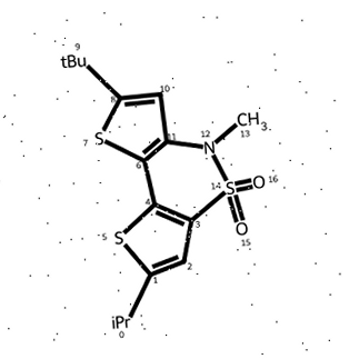 CC(C)c1cc2c(s1)-c1sc(C(C)(C)C)cc1N(C)S2(=O)=O